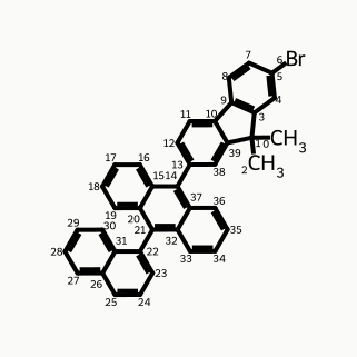 CC1(C)c2cc(Br)ccc2-c2ccc(-c3c4ccccc4c(-c4cccc5ccccc45)c4ccccc34)cc21